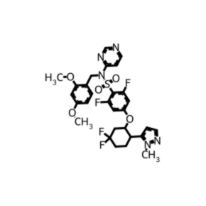 COc1ccc(CN(c2ccncn2)S(=O)(=O)c2c(F)cc(OC3CC(F)(F)CCC3c3ccnn3C)cc2F)c(OC)c1